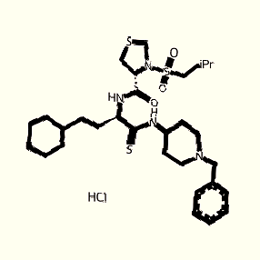 CC(C)CS(=O)(=O)N1CSC[C@H]1C(=O)N[C@H](CCC1CCCCC1)C(=S)NC1CCN(Cc2ccccc2)CC1.Cl